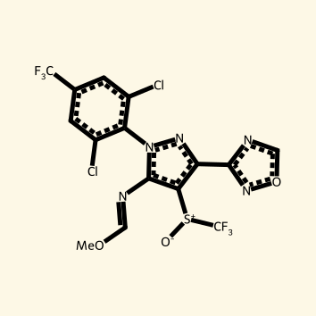 COC=Nc1c([S+]([O-])C(F)(F)F)c(-c2ncon2)nn1-c1c(Cl)cc(C(F)(F)F)cc1Cl